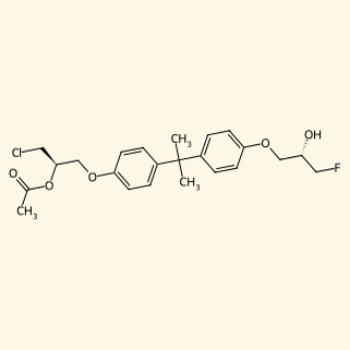 CC(=O)O[C@@H](CCl)COc1ccc(C(C)(C)c2ccc(OC[C@H](O)CF)cc2)cc1